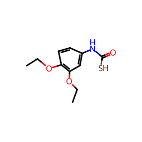 CCOc1ccc(NC(=O)S)cc1OCC